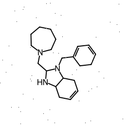 C1=CCCC(CN2C(CN3CCCCCC3)NC3CC=CCC32)=C1